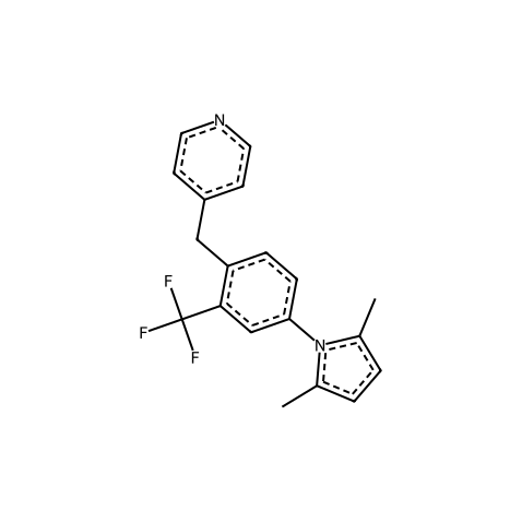 Cc1ccc(C)n1-c1ccc(Cc2ccncc2)c(C(F)(F)F)c1